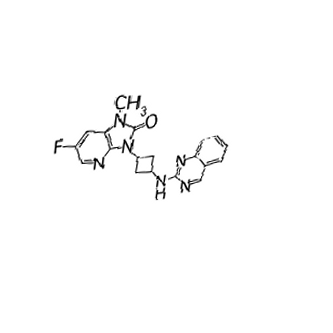 Cn1c(=O)n(C2CC(Nc3ncc4ccccc4n3)C2)c2ncc(F)cc21